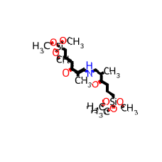 CO[Si](CCCC(=O)C(C)CNCC(C)C(=O)CCC[Si](OC)(OC)OC)(OC)OC